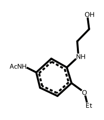 CCOc1ccc(NC(C)=O)cc1NCCO